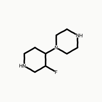 FC1CNCCC1N1CCNCC1